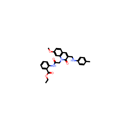 CCOC(=O)c1ccccc1NC(=O)Cn1c(=O)c(CNc2ccc(C)cc2)cc2ccc(OC)cc21